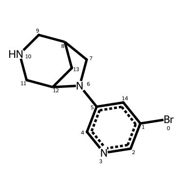 Brc1cncc(N2CC3CNCC2C3)c1